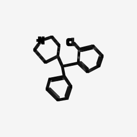 Clc1ccccc1C(c1ccccc1)C1CC[N]CC1